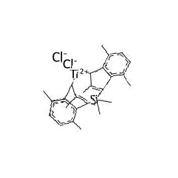 CC1=C2c3c(C)ccc(C)c3[CH]1[Ti+2][CH]1C(C)=C(c3c(C)ccc(C)c31)[Si]2(C)C.[Cl-].[Cl-]